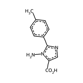 Cc1ccc(-c2ncc(C(=O)O)n2N)cc1